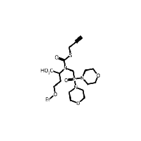 C#CCSC(=O)N(CP(=O)(N1CCOCC1)N1CCOCC1)C(CCOCC)C(=O)O